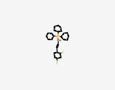 Fc1ccc(C#[C][Au][PH](c2ccccc2)(c2ccccc2)c2ccccc2)c(F)c1